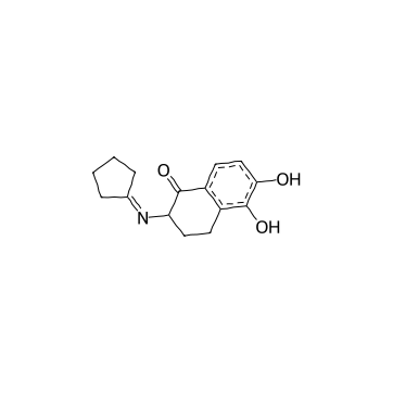 O=C1c2ccc(O)c(O)c2CCC1N=C1CCCC1